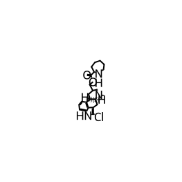 CN1CC(COC(=O)C2CCCCCN2)C[C@H]2c3cccc4[nH]c(Cl)c(c34)C[C@@H]21